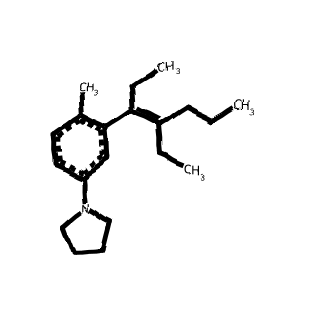 CCC/C(CC)=C(\CC)c1cc(N2CCCC2)ccc1C